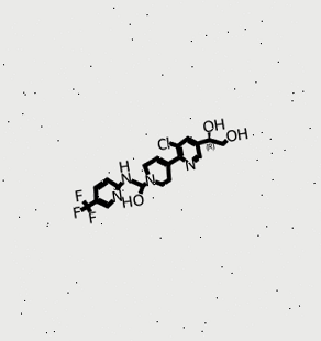 OC[C@H](O)c1cnc(C2=CCN(C(O)Nc3ccc(C(F)(F)F)cn3)CC2)c(Cl)c1